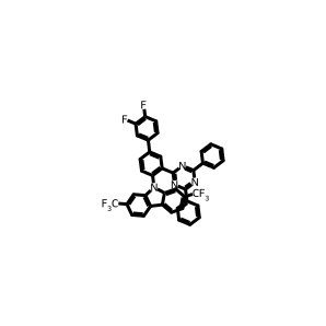 Fc1ccc(-c2ccc(-n3c4cc(C(F)(F)F)ccc4c4ccc(C(F)(F)F)cc43)c(-c3nc(-c4ccccc4)nc(-c4ccccc4)n3)c2)cc1F